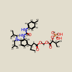 CCC(CC(=O)OCOC(=O)C(OP(=O)(O)O)C(C)C)c1ccc(N(CC(C)C)CC(C)C)c(NC(=O)Nc2ccc(C)cc2)c1